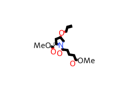 C=CCOC1C[C@@H](C(=O)OC)N(C(=O)CCCC(=O)OC)C1